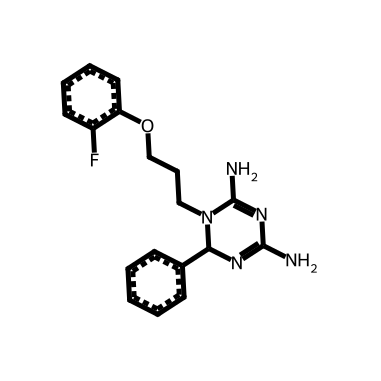 NC1=NC(c2ccccc2)N(CCCOc2ccccc2F)C(N)=N1